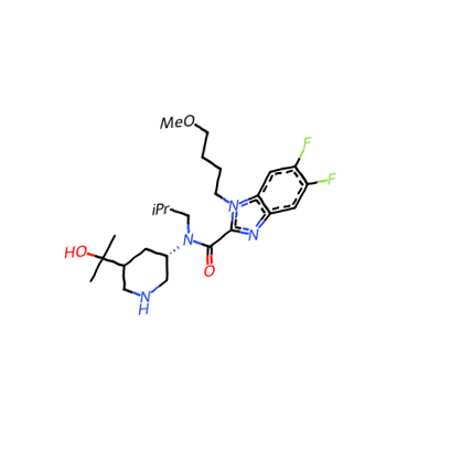 COCCCCn1c(C(=O)N(CC(C)C)[C@@H]2CNCC(C(C)(C)O)C2)nc2cc(F)c(F)cc21